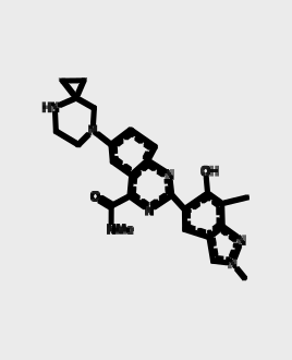 CNC(=O)c1nc(-c2cc3cn(C)nc3c(C)c2O)nc2ccc(N3CCNC4(CC4)C3)cc12